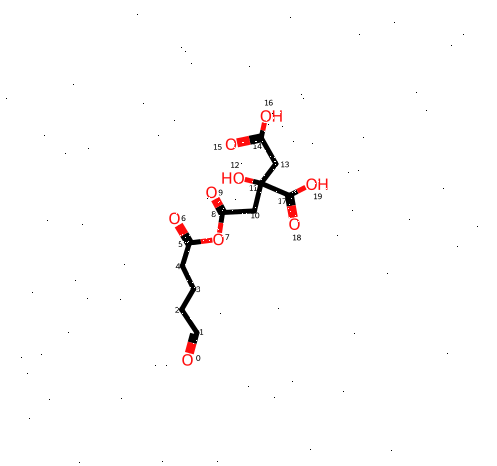 O=CCCCC(=O)OC(=O)CC(O)(CC(=O)O)C(=O)O